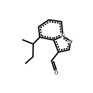 CCC(C)c1cccn2ncc(C=O)c12